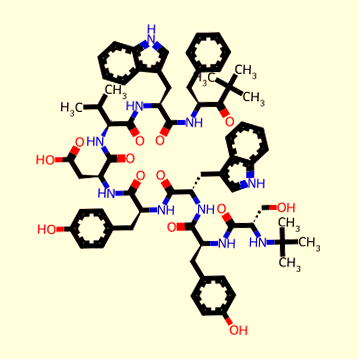 CC(C)[C@H](NC(=O)[C@H](CC(=O)O)NC(=O)[C@H](Cc1ccc(O)cc1)NC(=O)[C@H](Cc1c[nH]c2ccccc12)NC(=O)[C@H](Cc1ccc(O)cc1)NC(=O)[C@H](CO)NC(C)(C)C)C(=O)N[C@@H](Cc1c[nH]c2ccccc12)C(=O)N[C@@H](Cc1ccccc1)C(=O)C(C)(C)C